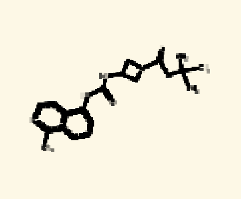 Cc1nccc2c(NC(=O)NC3CN(C(=O)OC(C)(C)C)C3)cccc12